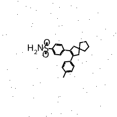 Cc1ccc(C2=C(c3ccc(S(N)(=O)=O)cc3)CC3(CCCC3)C2)cc1